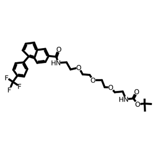 CC(C)(C)OC(=O)NCCOCCOCCOCCNC(=O)c1ccc2c(-c3ccc(C(F)(F)F)cc3)cccc2c1